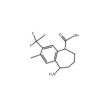 Cc1cc2c(cc1C(F)(F)F)N(C(=O)O)CCCC2N